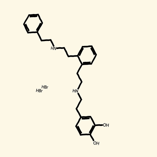 Br.Br.Oc1ccc(CCNCCc2ccccc2CCNCCc2ccccc2)cc1O